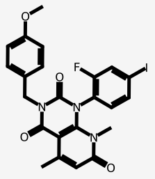 COc1ccc(Cn2c(=O)c3c(C)cc(=O)n(C)c3n(-c3ccc(I)cc3F)c2=O)cc1